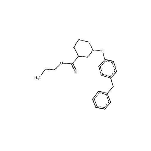 CCCOC(=O)C1CCCN(Oc2ccc(Cc3ccccc3)cc2)C1